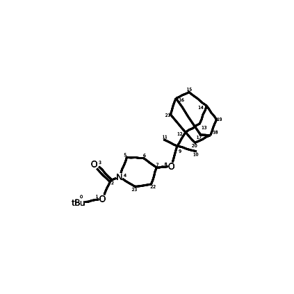 CC(C)(C)OC(=O)N1CCC(OC(C)(C)C23CC4CC(CC(C4)C2)C3)CC1